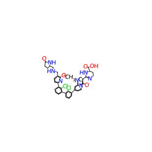 COc1nc(-c2cccc(-c3cccc(-c4ccn5c(=O)c(C6=NCCC(C(=O)O)N6)cnc5c4)c3Cl)c2Cl)ccc1CNCC1CCC(=O)N1